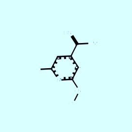 CSC(=N)c1cc(NC(C)C)nc(C(F)(F)F)c1